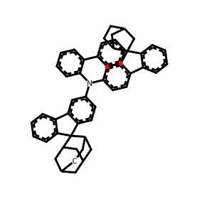 c1ccc(-c2ccccc2N(c2ccc3c(c2)-c2ccccc2C32C3CCC4CC(C3)CC2C4)c2ccc3c(c2)C2(CC4CCC2C4)c2ccccc2-3)cc1